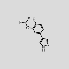 Fc1ccc(-c2cn[nH]c2)cc1OC(F)F